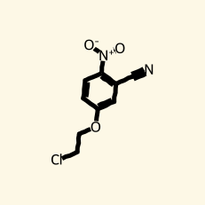 N#Cc1cc(OCCCl)ccc1[N+](=O)[O-]